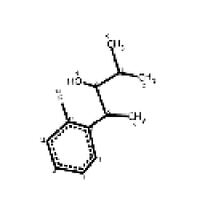 CC(C)C(O)C(C)c1ccccc1F